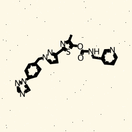 Cc1nc(-c2ccn(Cc3ccc(-n4cncn4)cc3)n2)sc1OC(=O)NCc1cccnc1